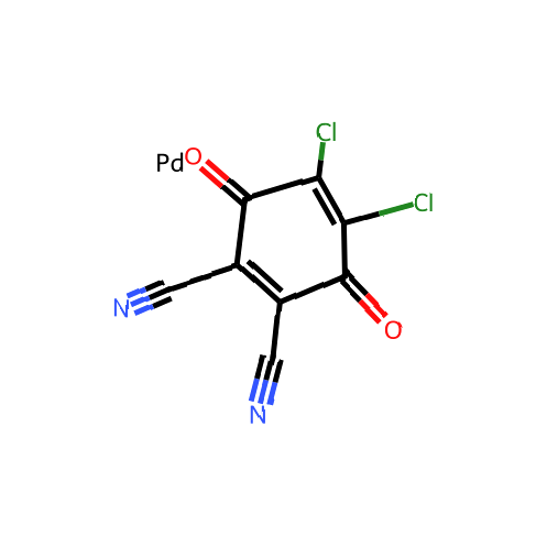 N#CC1=C(C#N)C(=O)C(Cl)=C(Cl)C1=O.[Pd]